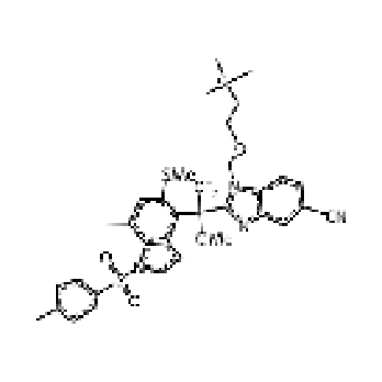 COC(c1c(SC)cc(C)c2c1ccn2S(=O)(=O)c1ccc(C)cc1)(c1nc2cc(C#N)ccc2n1COCC[Si](C)(C)C)C(F)(F)F